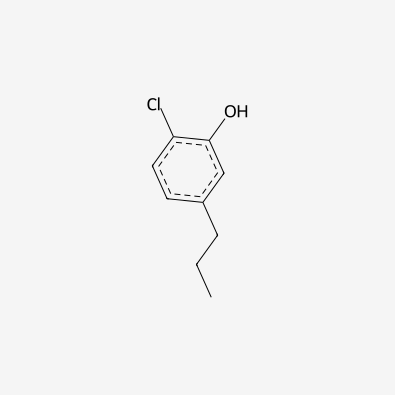 CCCc1ccc(Cl)c(O)c1